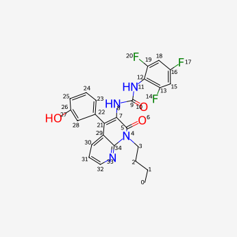 CCCCn1c(=O)c(NC(=O)Nc2c(F)cc(F)cc2F)c(-c2cccc(O)c2)c2cccnc21